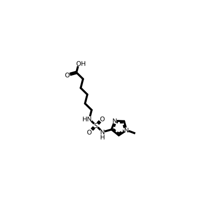 Cn1cnc(NS(=O)(=O)NCCCCCC(=O)O)c1